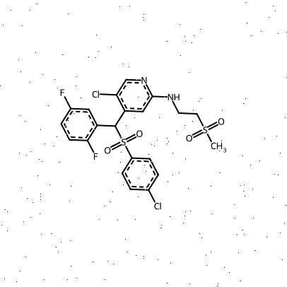 CS(=O)(=O)CCNc1cc(C(c2cc(F)ccc2F)S(=O)(=O)c2ccc(Cl)cc2)c(Cl)cn1